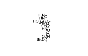 CC(C)(C)OC(=O)Nc1cc(CC(=O)Nc2ccc(Cl)c(C(=O)N[C@@H](CNC(N)=O)C(=O)O)c2Cl)ccn1